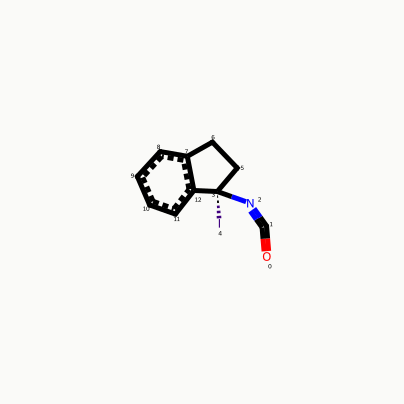 O=C=N[C@]1(I)CCc2ccccc21